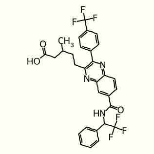 CC(CCc1nc2cc(C(=O)NC(c3ccccc3)C(F)(F)F)ccc2nc1-c1ccc(C(F)(F)F)cc1)CC(=O)O